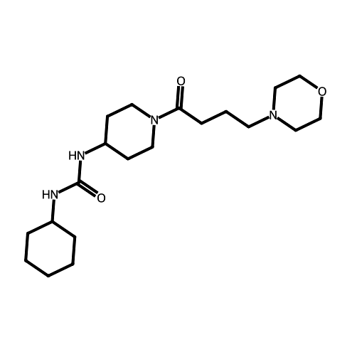 O=C(NC1CCCCC1)NC1CCN(C(=O)CCCN2CCOCC2)CC1